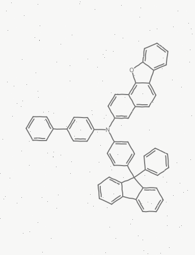 c1ccc(-c2ccc(N(c3ccc(C4(c5ccccc5)c5ccccc5-c5ccccc54)cc3)c3ccc4c(ccc5c6ccccc6oc45)c3)cc2)cc1